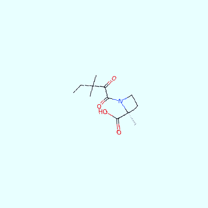 CCC(C)(C)C(=O)C(=O)N1CC[C@@]1(C)C(=O)O